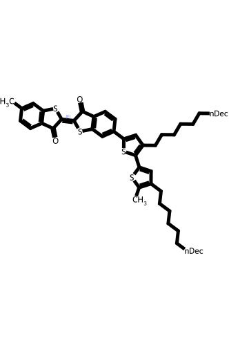 CCCCCCCCCCCCCCCCc1cc(-c2sc(-c3ccc4c(c3)S/C(=C3/Sc5cc(C)ccc5C3=O)C4=O)cc2CCCCCCCCCCCCCCCC)sc1C